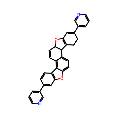 C1=CC2OC3=C(CCC(c4cccnc4)=C3)C2c2ccc3oc4cc(-c5cccnc5)ccc4c3c21